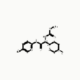 CC(C)(C)OC(=O)N[C@H](C(=O)Nc1ccc(Br)cn1)[C@H]1CC[C@H](C)CC1